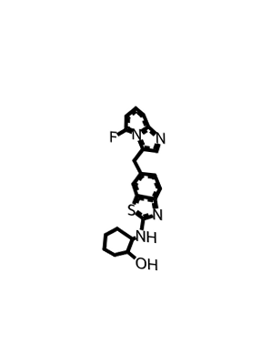 OC1CCCCC1Nc1nc2ccc(Cc3cnc4cccc(F)n34)cc2s1